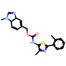 Cc1ccccc1-c1nc(C)c(NC(=O)OCC2=CC3N=CN(C)C3C=C2)s1